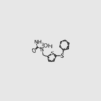 NC(=O)N(O)Cc1ccc(Sc2ccccc2)s1